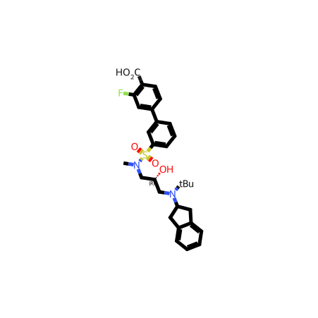 CN(C[C@H](O)CN(C1Cc2ccccc2C1)C(C)(C)C)S(=O)(=O)c1cccc(-c2ccc(C(=O)O)c(F)c2)c1